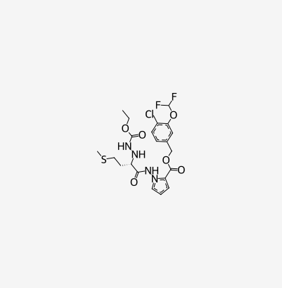 CCOC(=O)NN[C@@H](CCSC)C(=O)Nn1cccc1C(=O)OCc1ccc(Cl)c(OC(F)F)c1